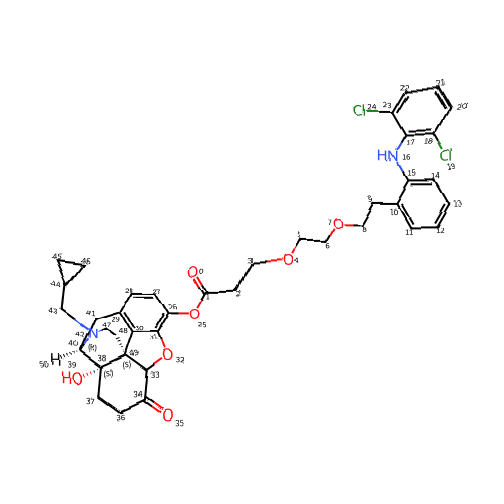 O=C(CCOCCOCCc1ccccc1Nc1c(Cl)cccc1Cl)Oc1ccc2c3c1OC1C(=O)CC[C@@]4(O)[C@@H](C2)N(CC2CC2)CC[C@]314